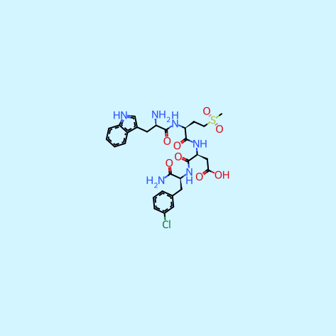 CS(=O)(=O)CC[C@H](NC(=O)[C@H](N)Cc1c[nH]c2ccccc12)C(=O)N[C@@H](CC(=O)O)C(=O)N[C@@H](Cc1cccc(Cl)c1)C(N)=O